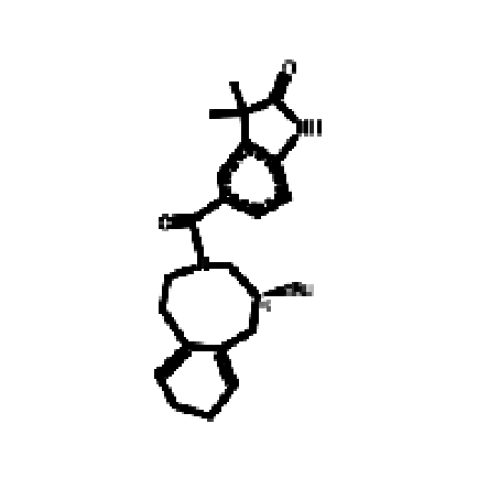 CC1(C)C(=O)Nc2ccc(C(=O)N3CCC4=CCCC=C4C[C@H](C(C)(C)C)C3)cc21